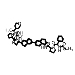 COC(=O)NC(C(=O)N1CCCC1c1nc2ccc3cc(-c4ccc5cc(-c6cnc(C7CCCN7[N+](O)(C(=O)[O-])C(C)C7CCOCC7)[nH]6)ccc5c4)ccc3c2[nH]1)c1ccccc1